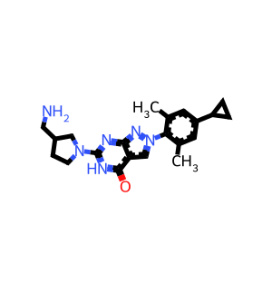 Cc1cc(C2CC2)cc(C)c1-n1cc2c(=O)[nH]c(N3CCC(CN)C3)nc2n1